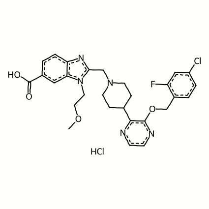 COCCn1c(CN2CCC(c3nccnc3OCc3ccc(Cl)cc3F)CC2)nc2ccc(C(=O)O)cc21.Cl